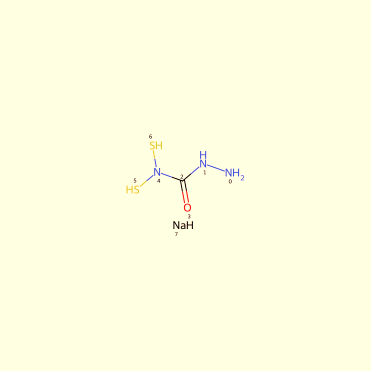 NNC(=O)N(S)S.[NaH]